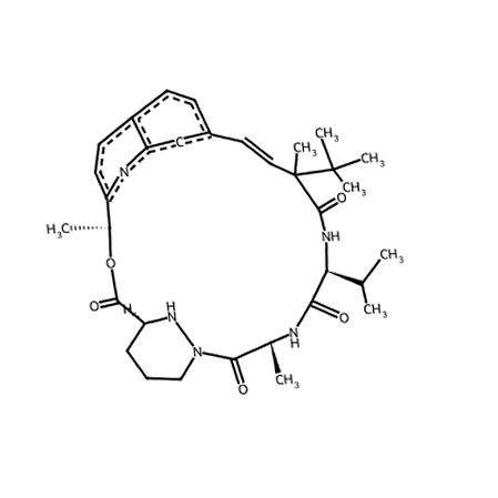 CC(C)[C@@H]1NC(=O)C(C)(C(C)(C)C)/C=C/c2ccc3ccc(nc3c2)[C@@H](C)OC(=O)[C@@H]2CCCN(N2)C(=O)[C@H](C)NC1=O